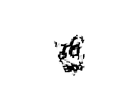 C/C=C(/C(=C/C)c1ccc(O)cc1)c1ccc(O)cc1.ClC1=C(Cl)C2(Cl)C3C(Cl)C=CC3C1(Cl)C2(Cl)Cl